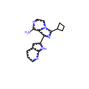 Nc1nccn2c(C3CCC3)nc(-c3cc4cccnc4[nH]3)c12